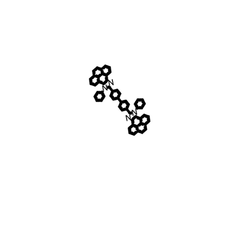 c1ccc(-n2c(-c3ccc(-c4ccc(-c5nc6c7cccc8ccc9cccc(c9c87)c6n5-c5ccccc5)cc4)cc3)nc3c4cccc5ccc6cccc(c6c54)c32)cc1